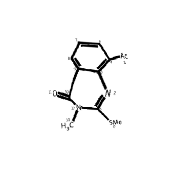 CSc1nc2c(C(C)=O)cccc2c(=O)n1C